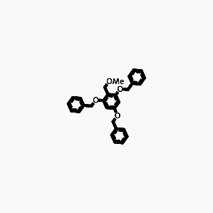 COCc1c(OCc2ccccc2)cc(OCc2ccccc2)cc1OCc1ccccc1